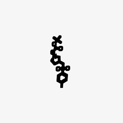 Cc1ccc(S(=O)(=O)CC2CCN(OC(=O)OC(C)(C)C)C2)cc1